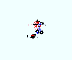 CN(CCN1CN(c2ccccc2)C2(CCN(CCC3CCC4CC3C4(C)C)CC2)C1=O)C(c1ccsc1)C(O)C(O)C(O)CO